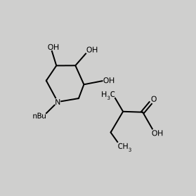 CCC(C)C(=O)O.CCCCN1CC(O)C(O)C(O)C1